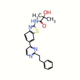 CC(C)(O)C(=O)Nc1nc2ccc(-c3ccnc(CCc4ccccc4)n3)cc2s1